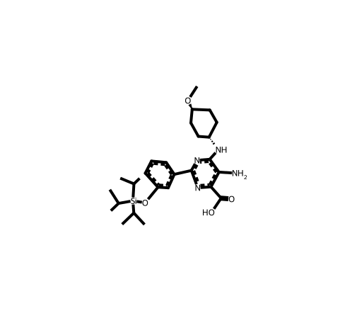 CO[C@H]1CC[C@H](Nc2nc(-c3cccc(O[Si](C(C)C)(C(C)C)C(C)C)c3)nc(C(=O)O)c2N)CC1